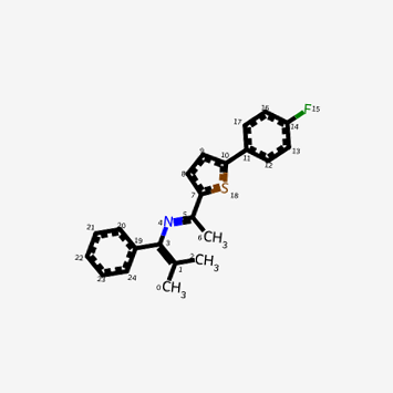 CC(C)=C(/N=C(\C)c1ccc(-c2ccc(F)cc2)s1)c1ccccc1